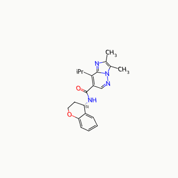 Cc1nc2c(C(C)C)c(C(=O)N[C@H]3CCOc4ccccc43)cnn2c1C